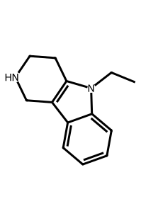 CCn1c2c(c3ccccc31)CNCC2